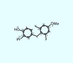 COc1cc(C)c(Cc2ccc(O)c(C(C)C)c2)c(C)c1